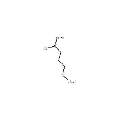 CCCCCCC(CC)CCCCC(=O)O